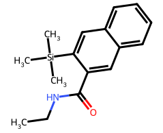 CCNC(=O)c1cc2ccccc2cc1[Si](C)(C)C